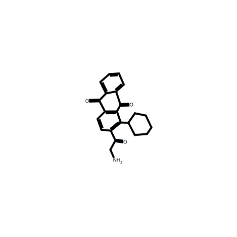 NCC(=O)c1c[c]c2c(c1C1CCCCC1)C(=O)c1ccccc1C2=O